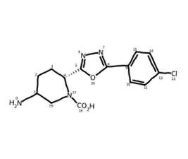 NC1CC[C@H](c2nnc(-c3ccc(Cl)cc3)o2)N(C(=O)O)C1